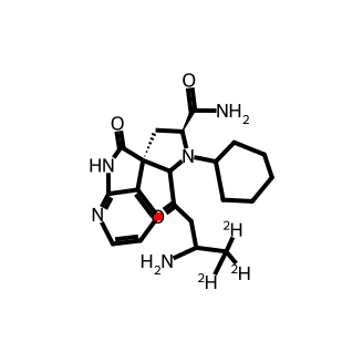 [2H]C([2H])([2H])C(N)CC(=O)C1N(C2CCCCC2)[C@H](C(N)=O)C[C@]12C(=O)Nc1ncccc12